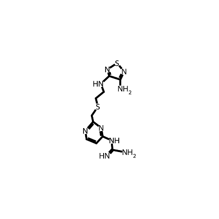 N=C(N)Nc1ccnc(CSCCNc2nsnc2N)n1